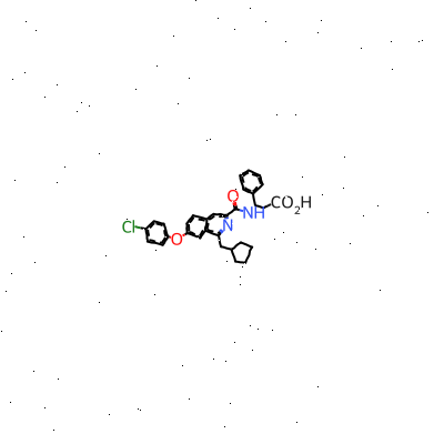 O=C(O)CC(NC(=O)c1cc2ccc(Oc3ccc(Cl)cc3)cc2c(CC2CCCC2)n1)c1ccccc1